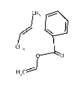 C=COC(=O)c1ccccc1.CC=CC